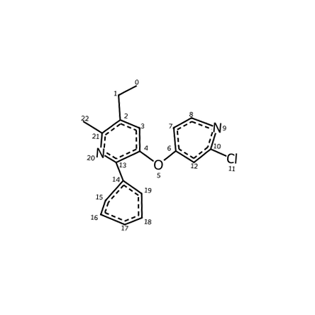 CCc1cc(Oc2ccnc(Cl)c2)c(-c2ccccc2)nc1C